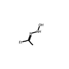 CCC(C)=NNO